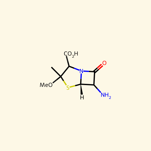 COC1(C)S[C@H]2C(N)C(=O)N2C1C(=O)O